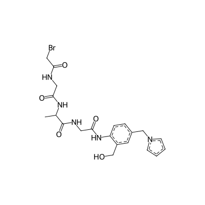 CC(NC(=O)CNC(=O)CBr)C(=O)NCC(=O)Nc1ccc(Cn2cccc2)cc1CO